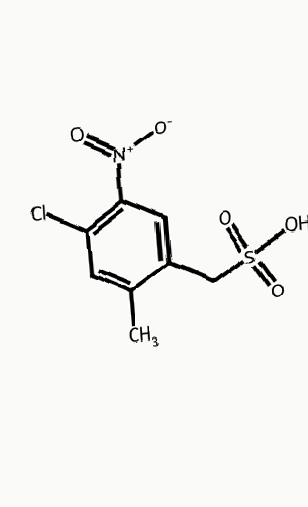 Cc1cc(Cl)c([N+](=O)[O-])cc1CS(=O)(=O)O